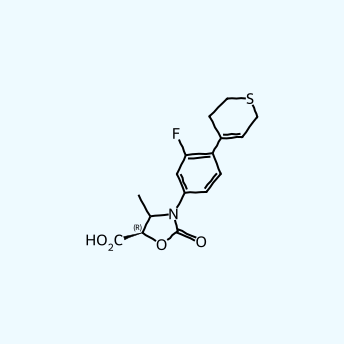 CC1[C@H](C(=O)O)OC(=O)N1c1ccc(C2=CCSCC2)c(F)c1